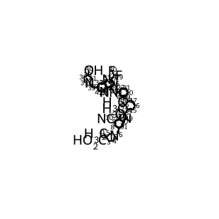 CC1(C(=O)O)CCN(Cc2cc(C#N)c3oc(C4=CC=CC(c5cccc(Nc6nc(C(F)F)nc7cc(CN8CCC(O)C8)cnc67)c5)C4(C)C)nc3c2)C1